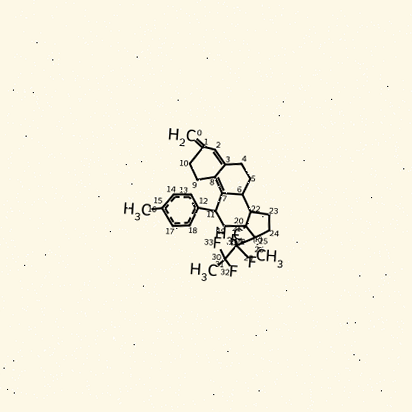 C=C1C=C2CCC3C(=C2CC1)C(c1ccc(C)cc1)CC1(C)C3CC[C@@]1(C)C(F)(F)C(C)(F)F